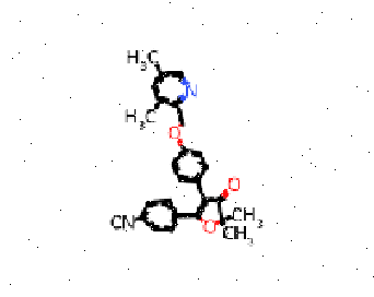 [C-]#[N+]c1ccc(C2=C(c3ccc(OCc4ncc(C)cc4C)cc3)C(=O)C(C)(C)O2)cc1